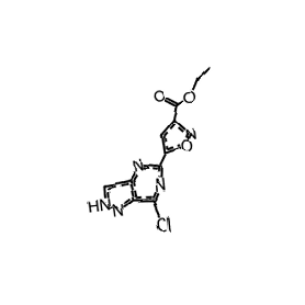 CCOC(=O)c1cc(-c2nc(Cl)c3n[nH]cc3n2)on1